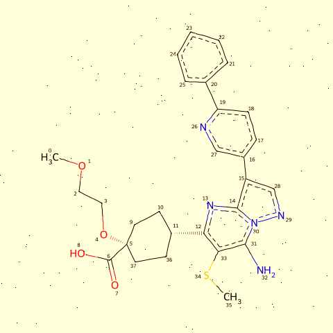 COCCO[C@]1(C(=O)O)CC[C@H](c2nc3c(-c4ccc(-c5ccccc5)nc4)cnn3c(N)c2SC)CC1